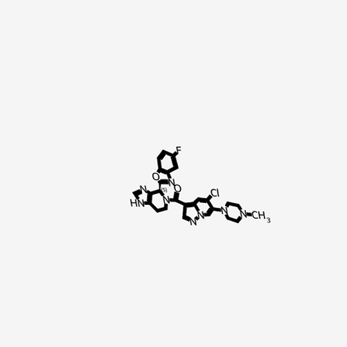 CN1CCN(c2cn3ncc(C(=O)N4CCc5[nH]cnc5[C@H]4c4nc5cc(F)ccc5o4)c3cc2Cl)CC1